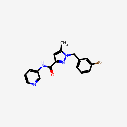 Cc1cc(C(=O)Nc2cccnc2)nn1Cc1cccc(Br)c1